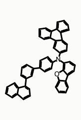 c1cc(-c2ccc(N(c3ccc4c5ccccc5c5ccccc5c4c3)c3cccc4c3oc3ccccc34)cc2)cc(-c2cccc3ccccc23)c1